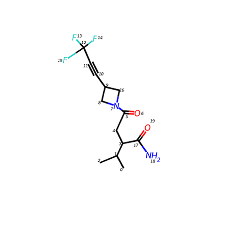 CC(C)C(CC(=O)N1CC(C#CC(F)(F)F)C1)C(N)=O